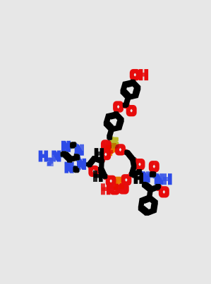 Nc1ncnc2c1ncn2[C@H]1C[C@@H]2OP(=O)(SCc3ccc(OC(=O)c4ccc(O)cc4)cc3)OCC3C[C@@H](OP(=O)(O)OC[C@H]2O1)[C@H](n1cc(-c2ccccc2)c(=O)[nH]c1=O)O3